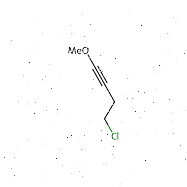 [CH2]OC#CCCCl